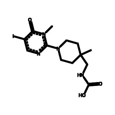 Cn1c(N2CCC(C)(CNC(=O)O)CC2)ncc(I)c1=O